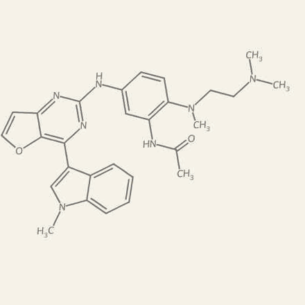 CC(=O)Nc1cc(Nc2nc(-c3cn(C)c4ccccc34)c3occc3n2)ccc1N(C)CCN(C)C